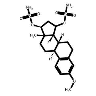 COc1ccc2c(c1)CC[C@@H]1[C@@H]2CC[C@]2(C)[C@@H](OS(N)(=O)=O)CC(OS(N)(=O)=O)[C@]12F